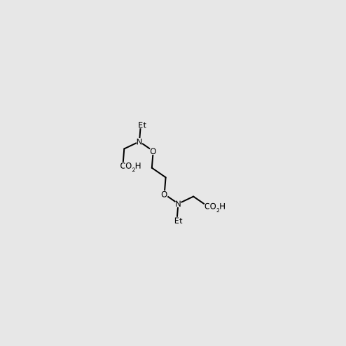 CCN(CC(=O)O)OCCON(CC)CC(=O)O